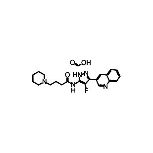 O=C(CCCN1CCCCC1)Nc1[nH]nc(-c2cnc3ccccc3c2)c1F.O=CO